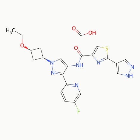 CCO[C@H]1C[C@@H](n2cc(NC(=O)c3csc(-c4cn[nH]c4)n3)c(-c3ccc(F)cn3)n2)C1.O=CO